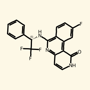 O=c1[nH]ccc2nc(N[C@@H](c3ccccc3)C(F)(F)F)c3ccc(F)cc3c12